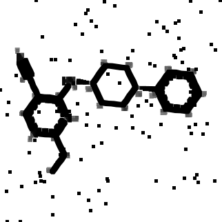 CCc1ncc(C#N)c(N[C@H]2CC[C@@H](c3ccccc3)CC2)n1